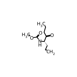 C=CC[C@H](NC(=O)OC)C(=O)CCC